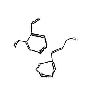 C=Cc1ccccc1C=C.OCC=Cc1ccccc1